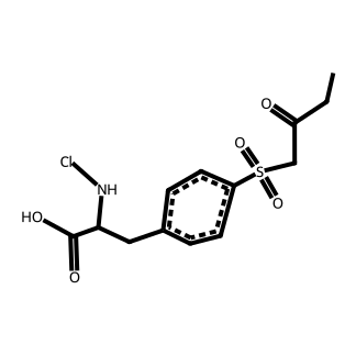 CCC(=O)CS(=O)(=O)c1ccc(CC(NCl)C(=O)O)cc1